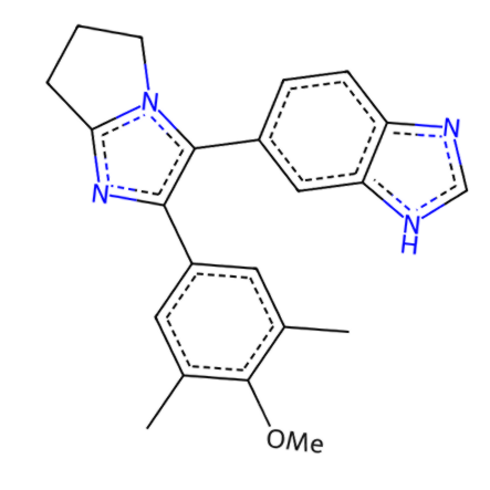 COc1c(C)cc(-c2nc3n(c2-c2ccc4nc[nH]c4c2)CCC3)cc1C